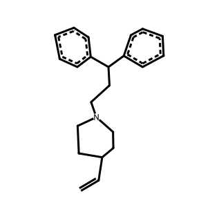 C=CC1CCN(CCC(c2ccccc2)c2ccccc2)CC1